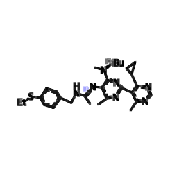 CCSc1ccc(CN/C(C)=N/c2c(C)nc(-c3c(C)ncnc3C3CC3)nc2N(C)[C@H](C)CC)cc1